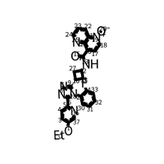 CCOc1ccc(-c2nnc([C@H]3C[C@H](NC(=O)c4cc[n+]([O-])c5cccnc45)C3)n2-c2ccccc2F)nc1